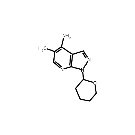 Cc1cnc2c(cnn2C2CCCCO2)c1N